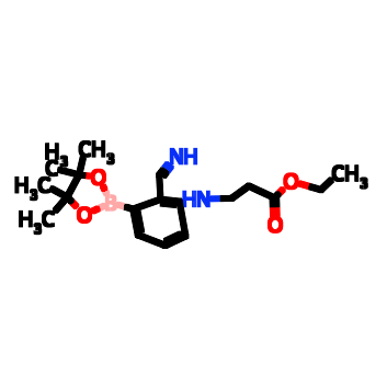 CCOC(=O)CCNc1cccc(B2OC(C)(C)C(C)(C)O2)c1C=N